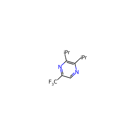 CC(C)c1ncc(C(F)(F)F)nc1C(C)C